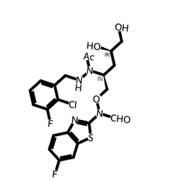 CC(=O)N(NCc1cccc(F)c1Cl)[C@H](CON(C=O)c1nc2ccc(F)cc2s1)C[C@@H](O)CO